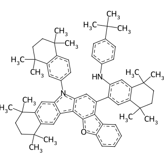 CC(C)(C)c1ccc(Nc2cc3c(cc2-c2cc4c(c5cc6c(cc5n4-c4ccc5c(c4)C(C)(C)CCC5(C)C)C(C)(C)CCC6(C)C)c4oc5ccccc5c24)C(C)(C)CCC3(C)C)cc1